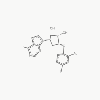 CC(=O)c1cc(F)ccc1O[C@H]1C[C@@H](n2ccc3c(C)ncnc32)[C@H](O)[C@@H]1O